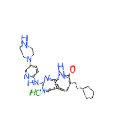 Cl.O=c1[nH]c2nc(Nc3ccc(N4CCNCC4)cn3)ncc2cc1CCC1CCCC1